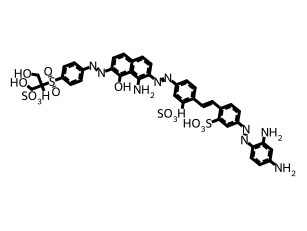 Nc1ccc(N=Nc2ccc(/C=C/c3ccc(N=Nc4ccc5ccc(/N=N/c6ccc(S(=O)(=O)C(CO)(CO)S(=O)(=O)O)cc6)c(O)c5c4N)cc3S(=O)(=O)O)c(S(=O)(=O)O)c2)c(N)c1